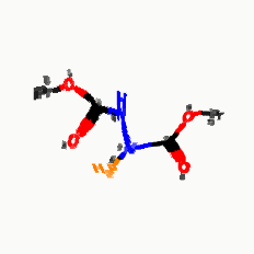 CC(C)OC(=O)NN(P)C(=O)OC(C)C